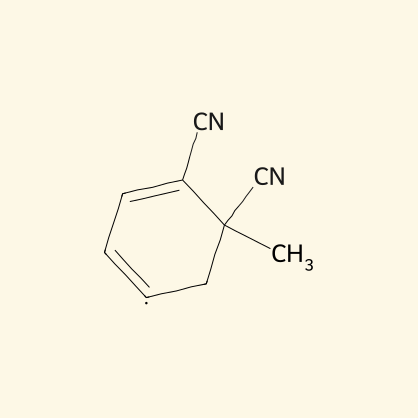 CC1(C#N)C[C]=CC=C1C#N